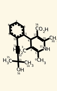 CC1=C(C(=O)O)C(c2ccccc2C#CC(C)(C)O)C(C(=O)O)=C(C)N1